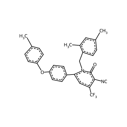 [C-]#[N+]c1c(C(F)(F)F)cc(-c2ccc(Oc3ccc(C)cc3)cc2)n(Cc2ccc(C)cc2C)c1=O